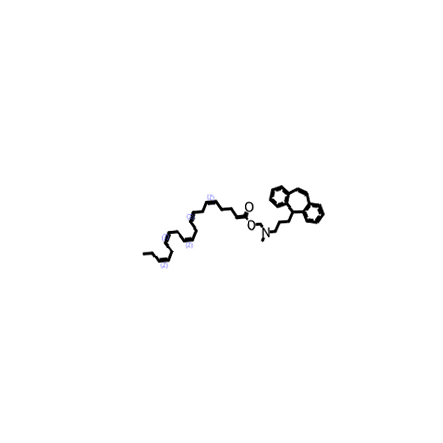 CC/C=C\C/C=C\C/C=C\C/C=C\C/C=C\CCCC(=O)OCN(C)CCCC1c2ccccc2C=Cc2ccccc21